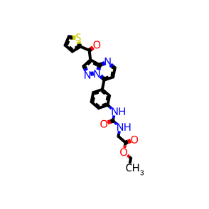 CCOC(=O)CNC(=O)Nc1cccc(-c2ccnc3c(C(=O)c4cccs4)cnn23)c1